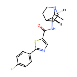 C[C@H]1[C@H](NC(=O)c2cnc(-c3ccc(F)cc3)s2)C2CCN1CC2